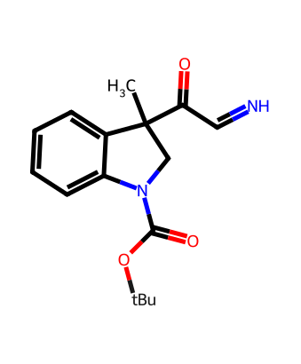 CC(C)(C)OC(=O)N1CC(C)(C(=O)C=N)c2ccccc21